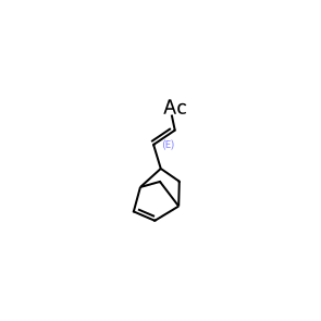 CC(=O)/C=C/C1CC2C=CC1C2